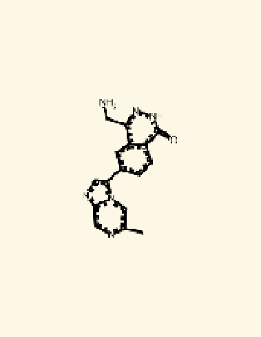 Cc1cn2c(-c3ccc4c(=O)[nH]nc(CN)c4c3)cnc2cn1